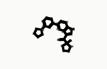 CC1(C(=O)c2c[nH]c3ncc(-c4cccc(N5CCCC5)c4)nc23)CCCC1